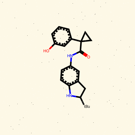 CC(C)(C)C1Cc2cc(NC(=O)C3(c4cccc(O)c4)CC3)ccc2N1